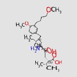 COCCCCc1cc(C[C@@H](C[C@H](N)[C@@H](O)C[C@H](C(=O)O)C(C)C)C(C)C)ccc1OC